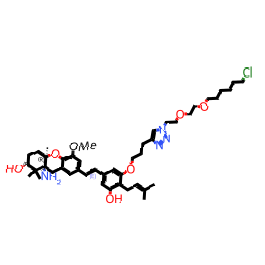 COc1cc(/C=C/c2cc(O)c(CC=C(C)C)c(OCCCc3cn(CCOCCOCCCCCCCl)nn3)c2)cc2c1O[C@]1(C)CC[C@@H](O)C(C)(C)[C@@]1(N)C2